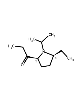 CCC(=O)[C@@H]1CC[C@H](CC)N1C(C)C